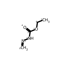 C=NNC(=O)OCC